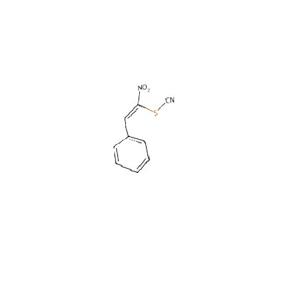 N#CSC(=Cc1ccccc1)[N+](=O)[O-]